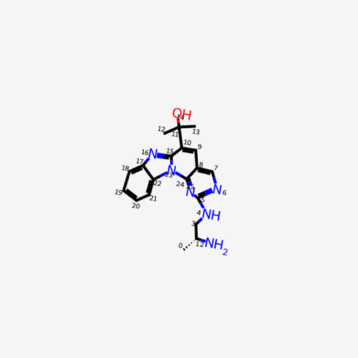 C[C@@H](N)CNc1ncc2cc(C(C)(C)O)c3nc4ccccc4n3c2n1